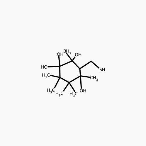 BC1(O)C(CS)C(C)(O)C(C)(C)C(C)(C)C1(O)O